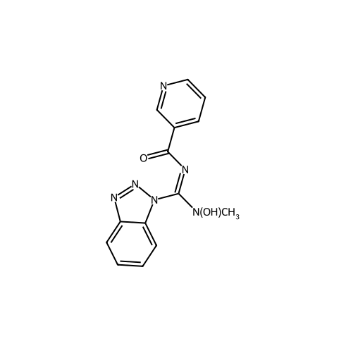 CN(O)/C(=N/C(=O)c1cccnc1)n1nnc2ccccc21